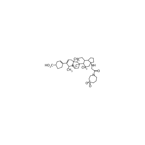 CC1C(C2=CCC(C(=O)O)CC2)=CCC2(C)C1CCC1(C)C2CCC2C3CCCC3(NCC(=O)N3CCCS(=O)(=O)CC3)CC[C@]21C